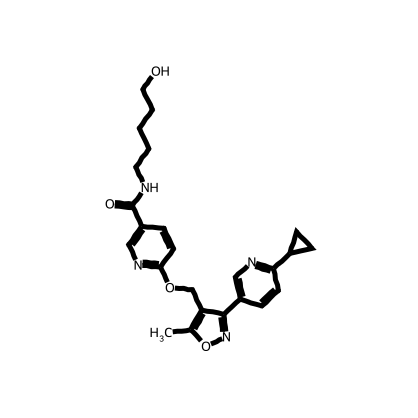 Cc1onc(-c2ccc(C3CC3)nc2)c1COc1ccc(C(=O)NCCCCCO)cn1